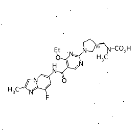 CCOc1nc(N2CC[C@@H](CN(C)C(=O)O)C2)ncc1C(=O)Nc1cc(F)c2nc(C)cn2c1